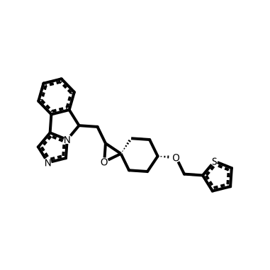 c1csc(CO[C@H]2CC[C@]3(CC2)OC3CC2c3ccccc3-c3cncn32)c1